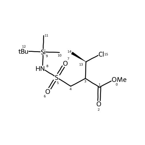 COC(=O)C(CS(=O)(=O)N[Si](C)(C)C(C)(C)C)[C@@H](C)Cl